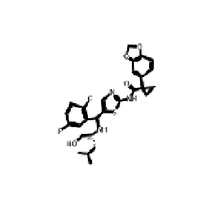 CC(C)C[C@H](CO)NC(c1cnc(NC(=O)C2(c3ccc4c(c3)OCO4)CC2)s1)c1cc(F)ccc1F